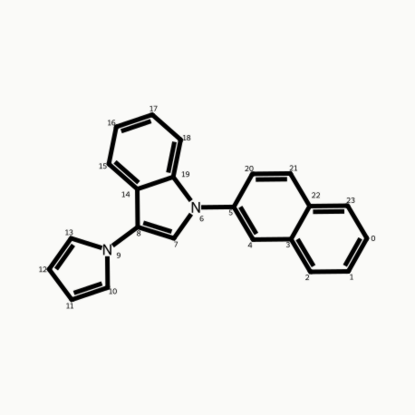 c1ccc2cc(-n3cc(-n4cccc4)c4ccccc43)ccc2c1